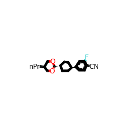 CCCC1COC([C@H]2CC[C@H](c3ccc(C#N)c(F)c3)CC2)OC1